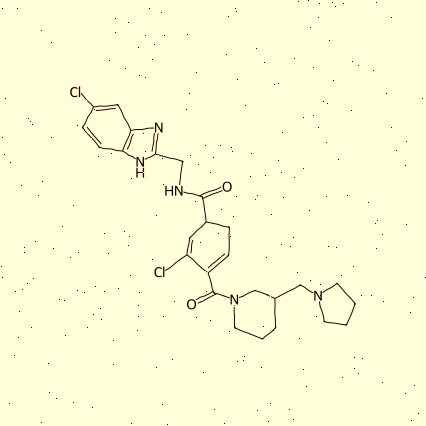 O=C(NCc1nc2cc(Cl)ccc2[nH]1)C1C=C(Cl)C(C(=O)N2CCCC(CN3CCCC3)C2)=CC1